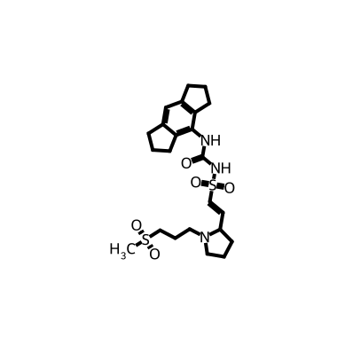 CS(=O)(=O)CCCN1CCCC1/C=C/S(=O)(=O)NC(=O)Nc1c2c(cc3c1CCC3)CCC2